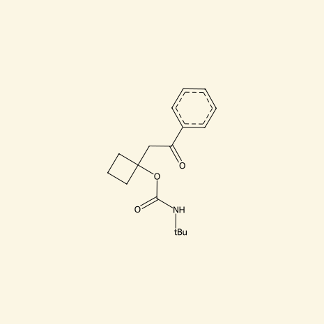 CC(C)(C)NC(=O)OC1(CC(=O)c2ccccc2)CCC1